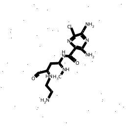 CNC(CC(C=O)NCCN)NC(=O)c1nc(Cl)c(N)nc1N